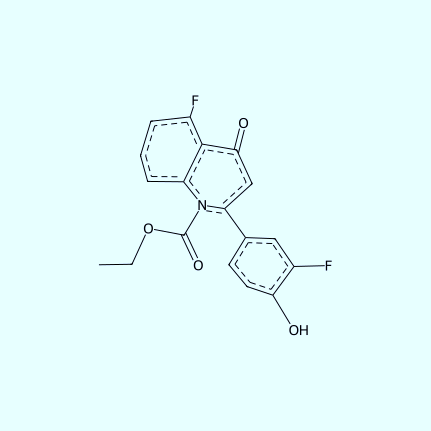 CCOC(=O)n1c(-c2ccc(O)c(F)c2)cc(=O)c2c(F)cccc21